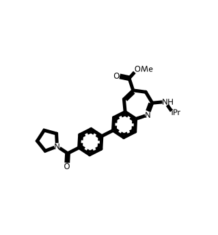 COC(=O)C1=Cc2cc(-c3ccc(C(=O)N4CCCC4)cc3)ccc2N=C(NC(C)C)C1